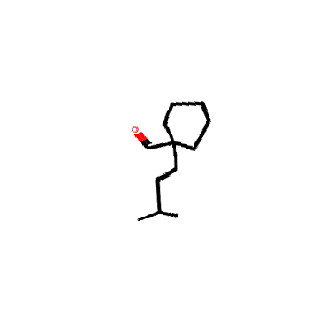 CC(C)CCC1(C=O)CCCCC1